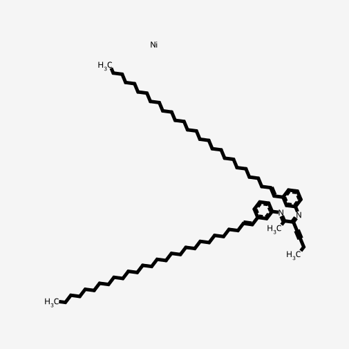 CCC#CC(=Nc1cccc(C=CCCCCCCCCCCCCCCCCCCCCCCCCCC)c1)C(C)=Nc1cccc(C=CCCCCCCCCCCCCCCCCCCCCCCCCCC)c1.[Ni]